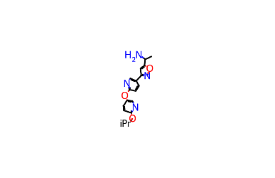 CC(C)Oc1ccc(Oc2ccc(-c3cc(C(C)N)on3)cn2)cn1